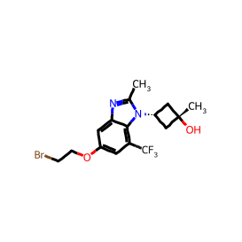 Cc1nc2cc(OCCBr)cc(C(F)(F)F)c2n1[C@H]1C[C@@](C)(O)C1